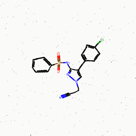 N#CCn1cc(-c2ccc(Cl)cc2)c(NS(=O)(=O)c2ccccc2)n1